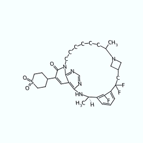 CC1CCCCCCn2c(=O)c(C3CCS(=O)(=O)CC3)cc3c(ncnc32)N[C@H](C)c2cccc(c2F)C(F)(F)CC2CN1C2